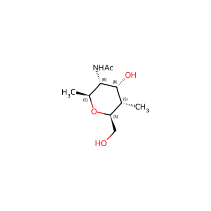 CC(=O)N[C@@H]1[C@H](O)[C@H](C)[C@@H](CO)O[C@H]1C